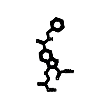 COC(=O)COc1c(C(=O)OC)sc2cc(C(=O)NCc3ccccc3)ccc12